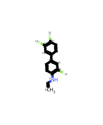 C=CNc1ccc(-c2ccc(F)c(F)c2)cc1F